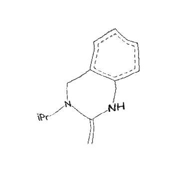 C=C1Nc2ccccc2CN1C(C)C